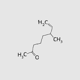 C=CC(C)CCCC(C)=O